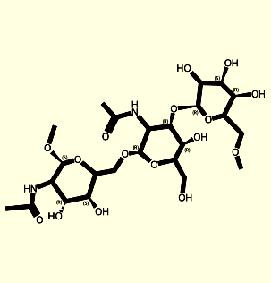 COCC1O[C@@H](O[C@@H]2C(NC(C)=O)[C@H](OCC3O[C@H](OC)C(NC(C)=O)[C@@H](O)[C@@H]3O)OC(CO)[C@@H]2O)C(O)[C@@H](O)[C@H]1O